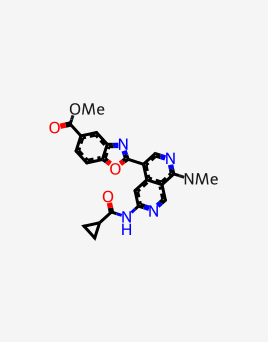 CNc1ncc(-c2nc3cc(C(=O)OC)ccc3o2)c2cc(NC(=O)C3CC3)ncc12